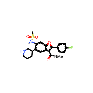 CNC(=O)c1c(-c2ccc(F)cc2)oc2cc(N(C)S(C)(=O)=O)c([C@H]3CCCNC3)cc12